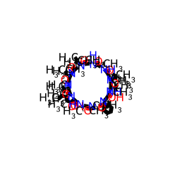 C/C=C/C[C@@H](C)[C@@H](O)[C@H]1C(=O)N[C@@H](CC)C(=O)N(C)CC(=O)N(C)[C@@H](Cc2ccccc2)C(O)N[C@@H](C(C)C)C(=O)N(C)[C@@H](CC(C)C)C(=O)N[C@@H](CC)C(=O)N[C@H](C)C(=O)N(C)[C@@H](CC(C)C)C(=O)N(C)[C@H](CC(C)C)C(=O)N(C)[C@@H](C(C)C)C(=O)N1C